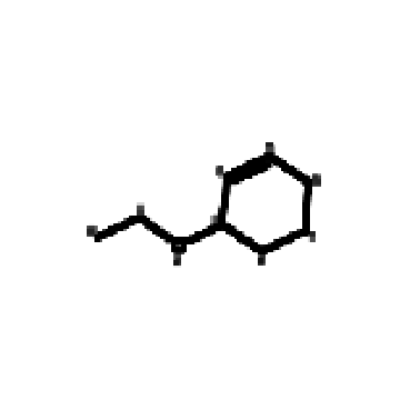 CCOC1C=CCCC1